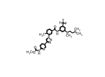 COC(=O)Nc1ccc(-c2cn(-c3cc(C(=O)Nc4cc(N(C)CCN(C)C)cc(C(F)(F)F)c4)ccc3C)nn2)cn1